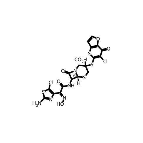 Nc1nc(C(=NO)C(=O)NC2C(=O)N3CC(Sc4sc5ccoc5c(=O)c4Cl)(C(=O)O)CS[C@H]23)c(Cl)s1